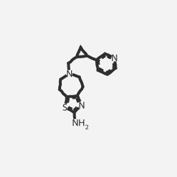 Nc1nc2c(s1)CCN(CC1CC1c1cccnc1)CC2